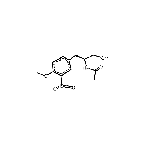 COc1ccc(C[C@@H](CO)NC(C)=O)cc1[SH](=O)=O